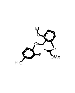 CCOc1cccc(OC(=O)OC)c1COc1ccc(C)cc1F